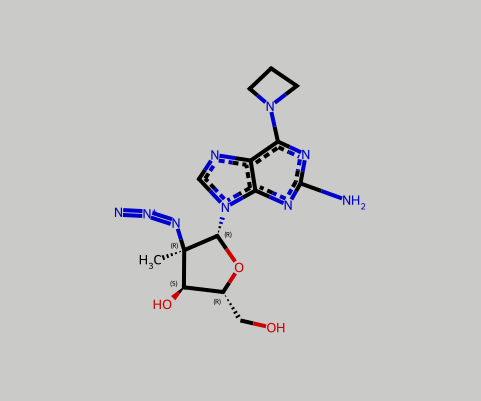 C[C@@]1(N=[N+]=[N-])[C@H](O)[C@@H](CO)O[C@H]1n1cnc2c(N3CCC3)nc(N)nc21